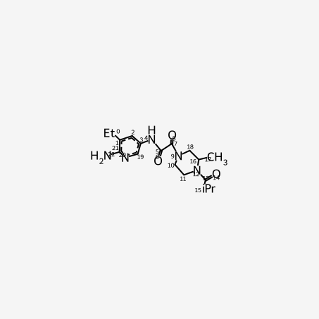 CCc1cc(NC(=O)C(=O)N2CCN(C(=O)C(C)C)C(C)C2)cnc1N